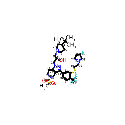 CC(C)(C)C1CCN(C[C@H](O)Cn2nc(-c3ccc(C(F)(F)F)c(SCCN4CC[C@H](F)C4)c3)c3c2CCN(S(C)(=O)=O)C3)CC1